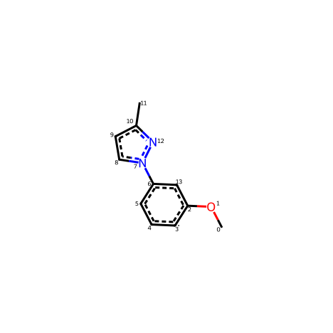 COc1[c]ccc(-n2ccc(C)n2)c1